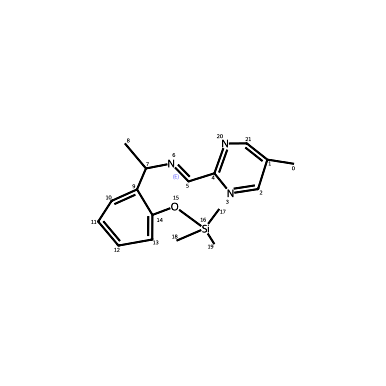 Cc1cnc(/C=N/C(C)c2ccccc2O[Si](C)(C)C)nc1